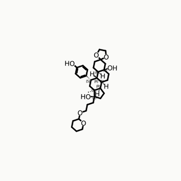 C[C@]12C[C@H](c3ccc(O)cc3)[C@H]3[C@@H](CC[C@@]4(O)CC5(CC[C@H]34)OCCO5)[C@H]1CC[C@]2(O)CCCOC1CCCCO1